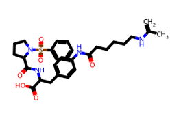 C=C(C)NCCCCCC(=O)Nc1ccc(CC(NC(=O)C2CCCN2S(=O)(=O)c2ccccc2)C(=O)O)cc1